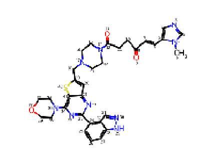 Cn1cncc1C=CC(=O)CCC(=O)N1CCN(Cc2cc3nc(-c4cccc5[nH]ncc45)nc(N4CCOCC4)c3s2)CC1